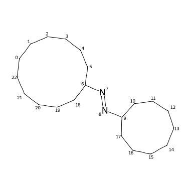 C1CCCCCC(/N=N/C2CCCCCCCC2)CCCCC1